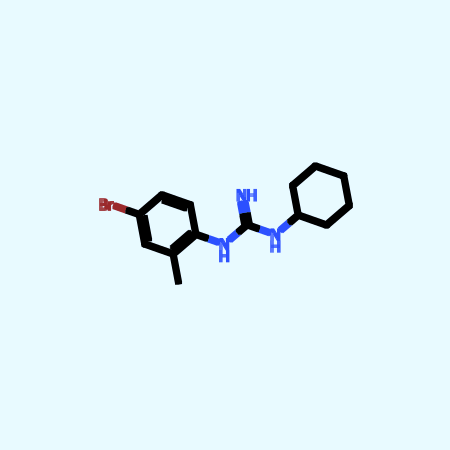 Cc1cc(Br)ccc1NC(=N)NC1CCCCC1